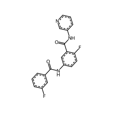 O=C(Nc1ccc(F)c(C(=O)Nc2cccnc2)c1)c1cccc(F)c1